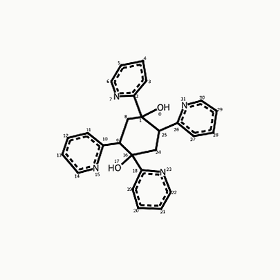 OC1(c2ccccn2)CC(c2ccccn2)C(O)(c2ccccn2)CC1c1ccccn1